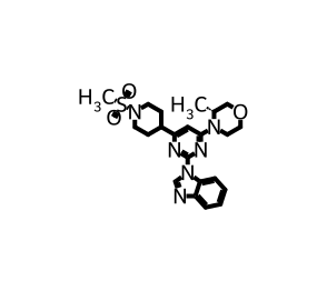 C[C@@H]1COCCN1c1cc(C2CCN(S(C)(=O)=O)CC2)nc(-n2cnc3ccccc32)n1